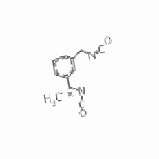 C[C@@H](N=C=O)c1cccc(CN=C=O)c1